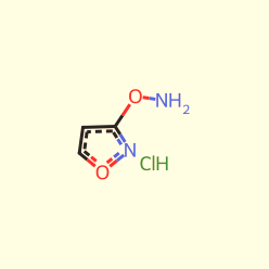 Cl.NOc1ccon1